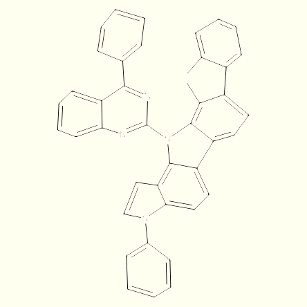 c1ccc(-c2nc(-n3c4c(ccc5c4ccn5-c4ccccc4)c4ccc5c6ccccc6sc5c43)nc3ccccc23)cc1